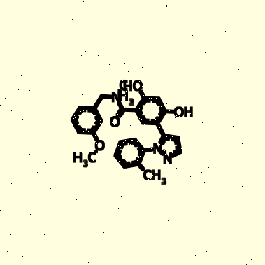 COc1cccc(CN(C)C(=O)c2cc(-c3ccnn3-c3ccccc3C)c(O)cc2O)c1